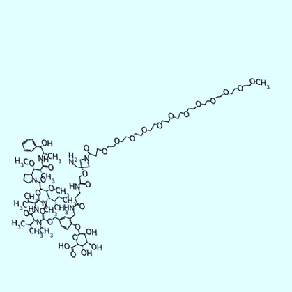 CC[C@H](C)[C@@H]([C@@H](CC(=O)N1CCC[C@H]1[C@H](OC)[C@@H](C)C(=O)N[C@H](C)[C@@H](O)c1ccccc1)OC)N(C)C(=O)[C@@H](NC(=O)[C@H](C(C)C)N(C)C(=O)OCc1ccc(O[C@@H]2O[C@H](C(=O)O)[C@@H](O)[C@H](O)[C@H]2O)c(CNC(=O)CCNC(=O)COC2(CN)CN(C(=O)CCOCCOCCOCCOCCOCCOCCOCCOCCOCCOCCOCCOC)C2)c1)C(C)C